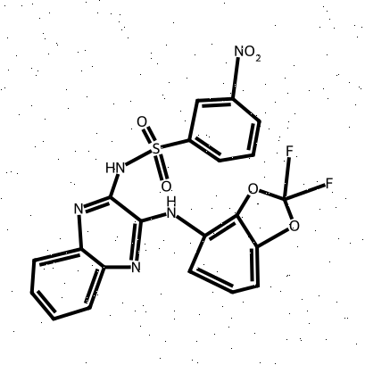 O=[N+]([O-])c1cccc(S(=O)(=O)Nc2nc3ccccc3nc2Nc2cccc3c2OC(F)(F)O3)c1